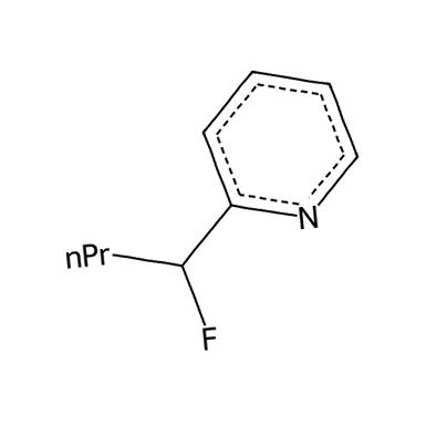 CCCC(F)c1ccccn1